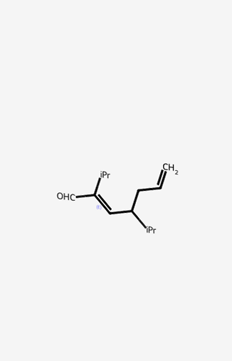 C=CCC(/C=C(/C=O)C(C)C)C(C)C